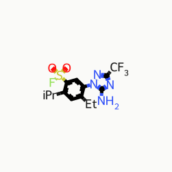 CCc1cc(C(C)C)c(S(=O)(=O)F)cc1-n1nc(C(F)(F)F)nc1N